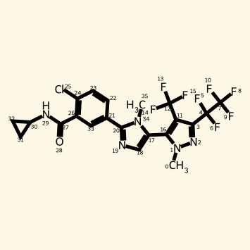 Cn1nc(C(F)(F)C(F)(F)F)c(C(F)(F)F)c1-c1cnc(-c2ccc(Cl)c(C(=O)NC3CC3)c2)n1C